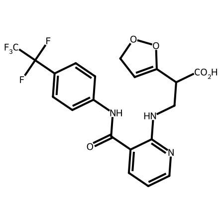 O=C(Nc1ccc(C(F)(F)C(F)(F)F)cc1)c1cccnc1NCC(C(=O)O)C1=CCOO1